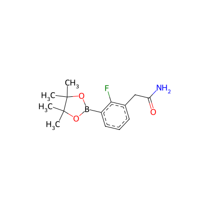 CC1(C)OB(c2cccc(CC(N)=O)c2F)OC1(C)C